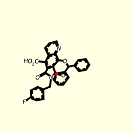 O=C(O)c1c2c(c(OC(c3ccccc3)c3ccccc3)c3ncccc13)C(=O)N(Cc1ccc(F)cc1)C2=O